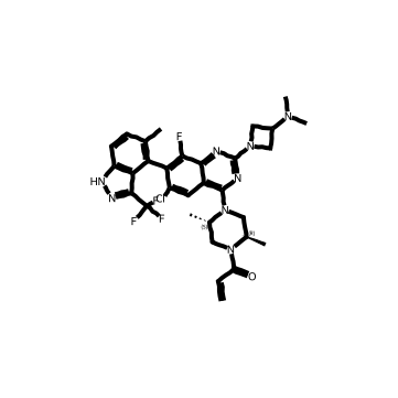 C=CC(=O)N1C[C@H](C)N(c2nc(N3CC(N(C)C)C3)nc3c(F)c(-c4c(C)ccc5[nH]nc(C(F)(F)F)c45)c(Cl)cc23)C[C@H]1C